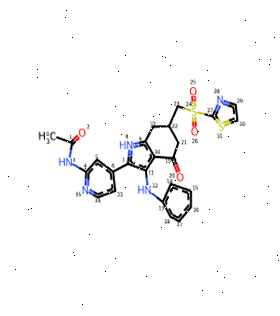 CC(=O)Nc1cc(-c2[nH]c3c(c2Nc2ccccc2)C(=O)CC(CS(=O)(=O)c2nccs2)C3)ccn1